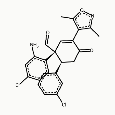 Cc1noc(C)c1C1=C[C@](C=O)(c2ccc(Cl)cc2N)[C@H](c2cccc(Cl)c2)CC1=O